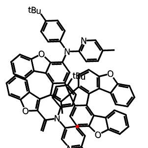 C=C(c1oc2ccccc2c1C1=C(C)C2(c3ccc4oc5ccccc5c4c3-c3c2ccc2oc4ccccc4c32)c2cc(N(c3ccc(C(C)(C)C)cc3)c3ccc(C)cn3)c3oc4ccccc4c3c21)N(c1ccc(C(C)(C)C)cc1)c1ccc(C)nc1